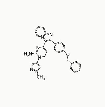 Cn1cc(N2CC=C(c3c(-c4ccc(OCc5ccccc5)cc4)nc4ccccn34)N=C2N)cn1